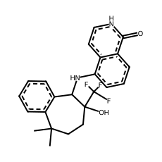 CC1(C)CCC(O)(C(F)(F)F)C(Nc2cccc3c(=O)[nH]ccc23)c2ccccc21